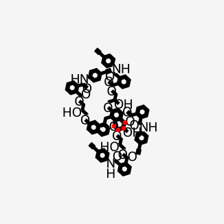 C#Cc1ccc(NC(=O)c2ccccc2C(=O)OCC(O)COc2ccc3ccc(OCC(O)COC(=O)c4ccccc4C(=O)Nc4ccc(C#C)cc4)c(Cc4c(OCC(O)COC(=O)c5ccccc5C(=O)Nc5ccc(C#C)cc5)ccc5ccc(OCC(O)COC(=O)c6ccccc6C(=O)Nc6ccc(C#C)cc6)cc45)c3c2)cc1